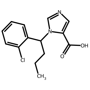 CCCC(c1ccccc1Cl)n1cncc1C(=O)O